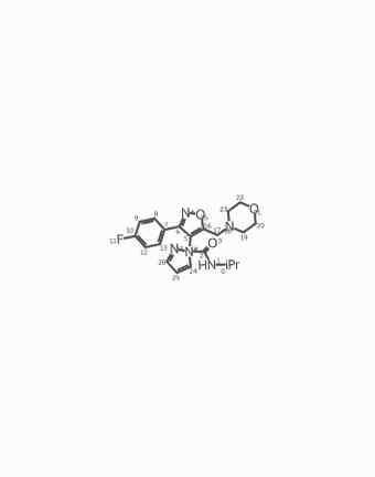 CC(C)NC(=O)[N+]1(c2c(-c3ccc(F)cc3)noc2CN2CCOCC2)C=CC=N1